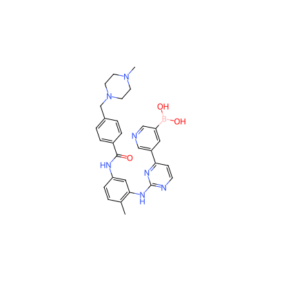 Cc1ccc(NC(=O)c2ccc(CN3CCN(C)CC3)cc2)cc1Nc1nccc(-c2cncc(B(O)O)c2)n1